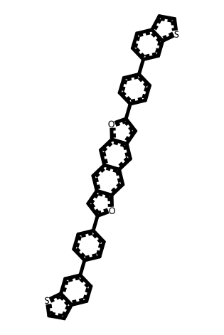 c1cc2ccc(-c3ccc(-c4cc5cc6cc7oc(-c8ccc(-c9ccc%10ccsc%10c9)cc8)cc7cc6cc5o4)cc3)cc2s1